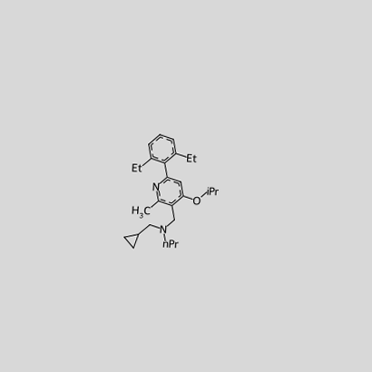 CCCN(Cc1c(OC(C)C)cc(-c2c(CC)cccc2CC)nc1C)CC1CC1